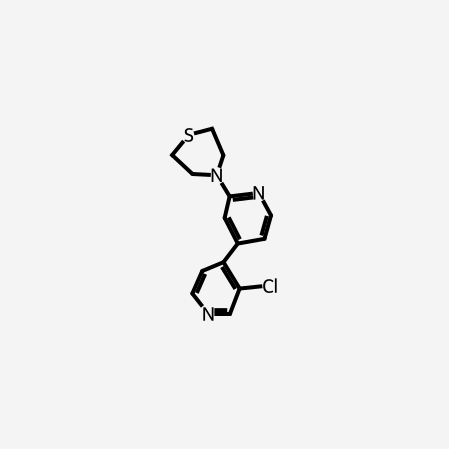 Clc1cnccc1-c1ccnc(N2CCSCC2)c1